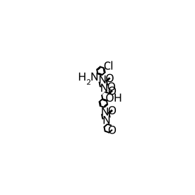 Nc1ccc(Cl)cc1N1CCN([C@@H](Cc2ccc(N3CCN(C4CCCOC4)CC3=O)cc2)C(=O)O)C(=O)C1=O